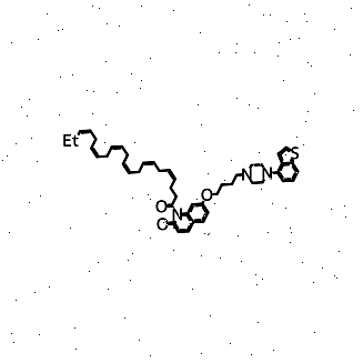 CC/C=C\C/C=C\C/C=C\C/C=C\C/C=C\C/C=C\CCC(=O)n1c(=O)ccc2ccc(OCCCCN3CCN(c4cccc5sccc45)CC3)cc21